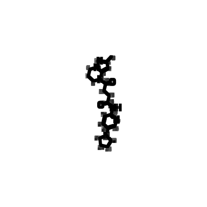 Cc1cc2n(n1)CCCN2C(=O)CCC(=O)Nc1ccc(N2CCCC2)cn1